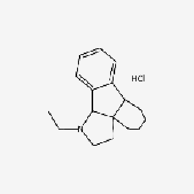 CCN1CCC23CCCCC2c2ccccc2C13.Cl